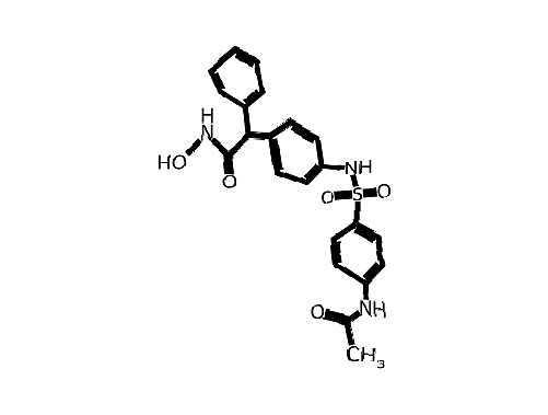 CC(=O)Nc1ccc(S(=O)(=O)Nc2ccc(C(C(=O)NO)c3ccccc3)cc2)cc1